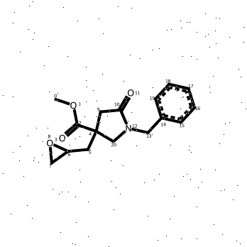 COC(=O)C1(CC2CO2)CC(=O)N(Cc2ccccc2)C1